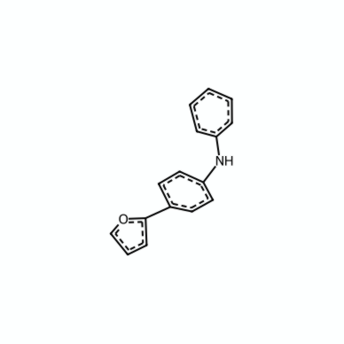 c1ccc(Nc2ccc(-c3ccco3)cc2)cc1